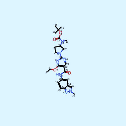 CCOc1nc(N2CCC(N(C)C(=O)OC(C)(C)C)C2)ncc1C(=O)Nc1ccc2nn(C)cc2c1